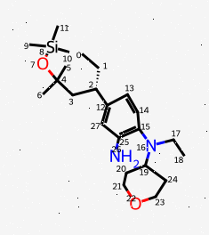 CC[C@@H](CC(C)(C)O[Si](C)(C)C)c1ccc(N(CC)C2CCOCC2)c(N)c1